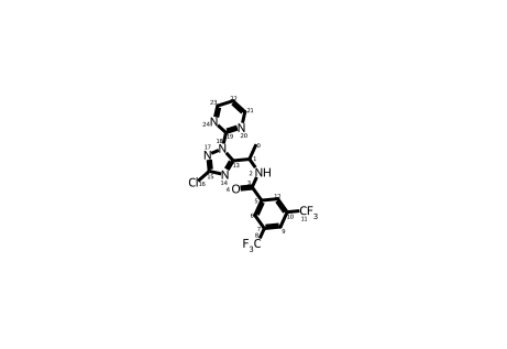 CC(NC(=O)c1cc(C(F)(F)F)cc(C(F)(F)F)c1)c1nc(Cl)nn1-c1ncccn1